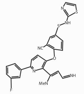 CN/C(=C\C=N)c1nc(-c2cccc(F)c2)ccc1Oc1ccc(SNc2nccs2)cc1C#N